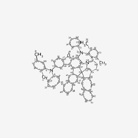 Cc1ccc(C)c(N(c2ccccc2)c2ccc3oc4c(N(c5ccccc5)c5cc(C)ccc5C)cc5c(c4c3c2)-c2cc3ccccc3cc2C52C3=C(CCC=N3)c3cc4ccccc4cc32)c1